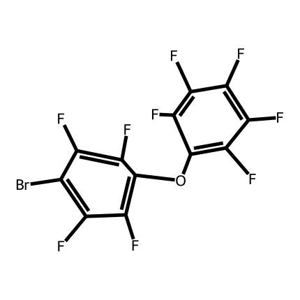 Fc1c(F)c(F)c(Oc2c(F)c(F)c(Br)c(F)c2F)c(F)c1F